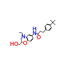 CCN1CC(CO)Oc2ccc(NC(=O)CCc3ccc(C(C)(C)C)cc3)cc21